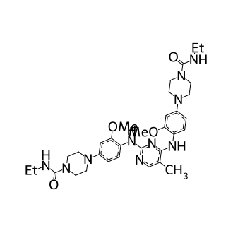 CCNC(=O)N1CCN(c2ccc(Nc3ncc(C)c(Nc4ccc(N5CCN(C(=O)NCC)CC5)cc4OC)n3)c(OC)c2)CC1